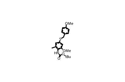 COc1ccc(CSc2cc(C)c(NC(=O)OC(C)(C)C)c(OC)c2)cc1